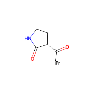 CC(C)C(=O)[C@H]1CCNC1=O